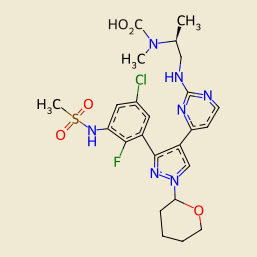 C[C@@H](CNc1nccc(-c2cn(C3CCCCO3)nc2-c2cc(Cl)cc(NS(C)(=O)=O)c2F)n1)N(C)C(=O)O